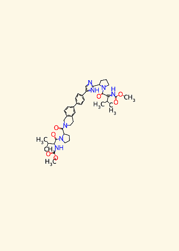 COC(=O)NC(C(=O)N1CCCC1C(=O)N1CCc2cc(-c3ccc(-c4cnc(C5CCCN5C(=O)[C@@H](NC(=O)OC)C(C)C)[nH]4)cc3)ccc2C1)C(C)C